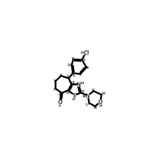 O=C1CCCC(c2ccc(Cl)cc2)c2nc(N3CCOCC3)sc21